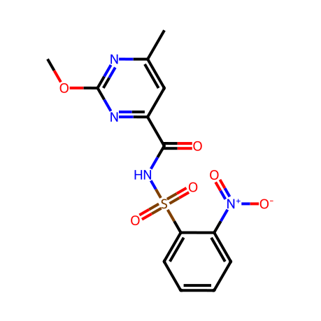 COc1nc(C)cc(C(=O)NS(=O)(=O)c2ccccc2[N+](=O)[O-])n1